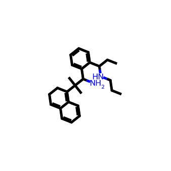 CCCNC(CC)c1ccccc1C(N)C(C)(C)C1=c2ccccc2=CCC1